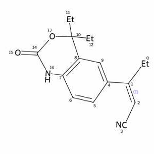 CC/C(=C/C#N)c1ccc2c(c1)C(CC)(CC)OC(=O)N2